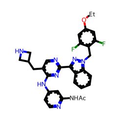 CCOc1cc(F)c(Cn2nc(-c3ncc(CC4CNC4)c(Nc4ccnc(NC(C)=O)c4)n3)c3ccccc32)c(F)c1